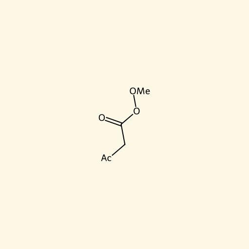 COOC(=O)CC(C)=O